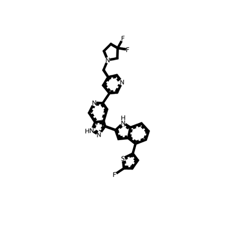 Fc1ccc(-c2cccc3[nH]c(-c4n[nH]c5cnc(-c6cncc(CN7CCC(F)(F)C7)c6)cc45)cc23)s1